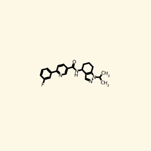 CC(C)n1ncc2c1CCCC2NC(=O)c1ccc(-c2cccc(F)c2)nc1